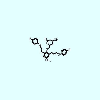 Cc1cc(CCCOc2ccc(F)cc2)c(OCC2CC(O)CC(=O)O2)c(CCCOc2ccc(F)cc2)c1